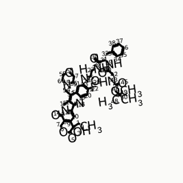 CC[C@@]1(O)C(=O)OCc2c1cc1n(c2=O)Cc2c-1nc1cc(F)c(NC(=O)CNC(=O)[C@H](Cc3ccccc3)NC(=O)CNC(=O)OC(C)(C)C)cc1c2CN1CCOCC1